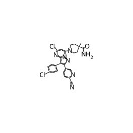 CC1(C(N)=O)CCN(c2cc(Cl)nc3c(-c4ccc(Cl)cc4)c(-c4ccc(C#N)nc4)nn23)CC1